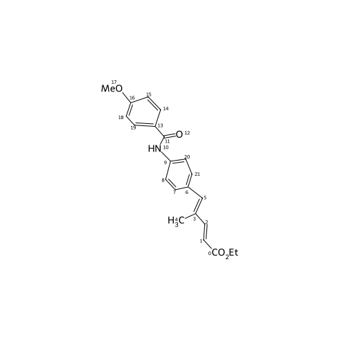 CCOC(=O)/C=C/C(C)=C/c1ccc(NC(=O)c2ccc(OC)cc2)cc1